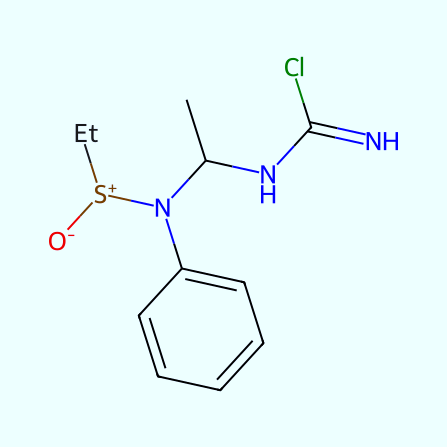 CC[S+]([O-])N(c1ccccc1)C(C)NC(=N)Cl